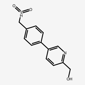 O=[SH](=O)Cc1ccc(-c2ccc(CO)nc2)cc1